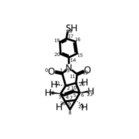 O=C1[C@@H]2[C@@H]3C=C[C@@H]([C@H]4C[C@@H]34)[C@@H]2C(=O)N1c1ccc(S)cc1